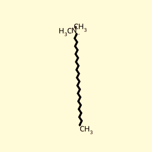 CCCCCCCCCCCCCCCCCCCCCCCC[CH]N(C)C